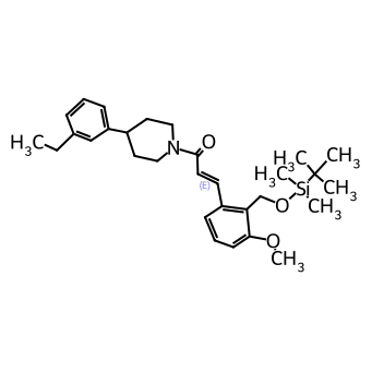 CCc1cccc(C2CCN(C(=O)/C=C/c3cccc(OC)c3CO[Si](C)(C)C(C)(C)C)CC2)c1